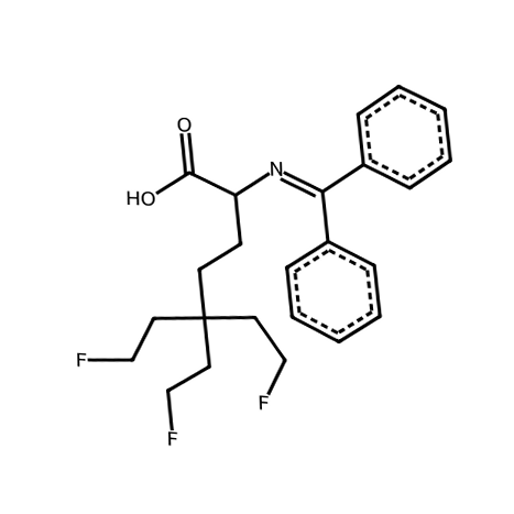 O=C(O)C(CCC(CCF)(CCF)CCF)N=C(c1ccccc1)c1ccccc1